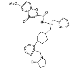 COc1ccc2oc(C(=O)N[C@H](Cc3ccccc3)CC3CCC(c4ccccc4CN4CCCC4=O)CC3)cc(=O)c2c1